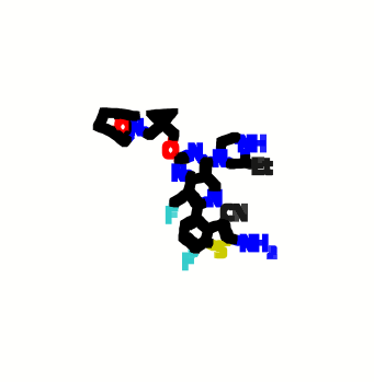 CCC1CN(c2nc(OCC3(CN4CC5CCC(C4)O5)CC3)nc3c(CF)c(C4=CC=C(F)C5SC(N)=C(C#N)C45)ncc23)CCN1